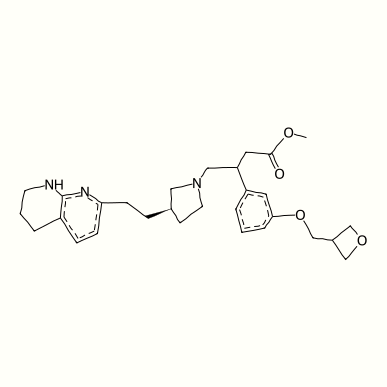 COC(=O)CC(CN1CC[C@@H](CCc2ccc3c(n2)NCCC3)C1)c1cccc(OCC2COC2)c1